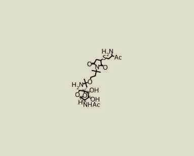 CC(=O)N[C@@H]1[C@H]2OC[C@](CC(C)(N)OCCC(C)(C)N3C(=O)CC(SCC(N)C(C)=O)C3=O)(O2)[C@H](O)[C@@H]1O